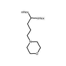 CCCCCCC(CCCCCC)CCCN1CCOCC1